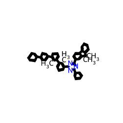 Cc1c(-c2ccc(-c3ccccc3)cc2)cccc1-c1cccc(-c2nc(-c3ccccc3)nc(-c3ccc4c(c3)C(C)(C)c3ccccc3-4)n2)c1C